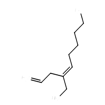 C=CC/C(=C\CCCCC)CO